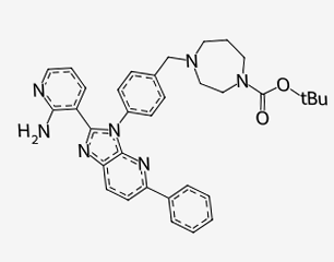 CC(C)(C)OC(=O)N1CCCN(Cc2ccc(-n3c(-c4cccnc4N)nc4ccc(-c5ccccc5)nc43)cc2)CC1